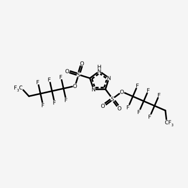 O=S(=O)(OC(F)(F)C(F)(F)C(F)(F)CC(F)(F)F)c1n[nH]c(S(=O)(=O)OC(F)(F)C(F)(F)C(F)(F)CC(F)(F)F)n1